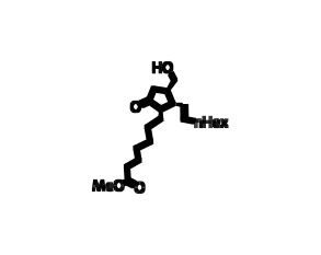 CCCCCCC=C[C@H]1[C@H](CO)CC(=O)[C@@H]1CCCCCCC(=O)OC